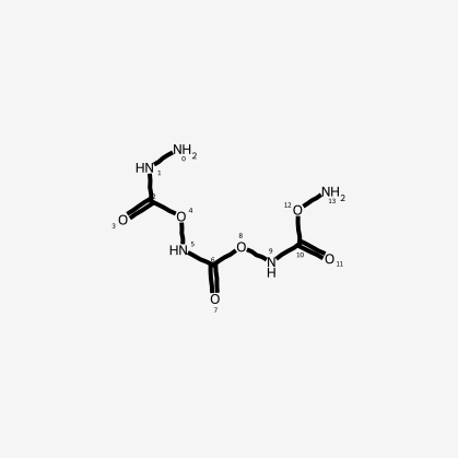 NNC(=O)ONC(=O)ONC(=O)ON